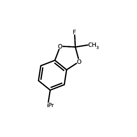 CC(C)c1ccc2c(c1)OC(C)(F)O2